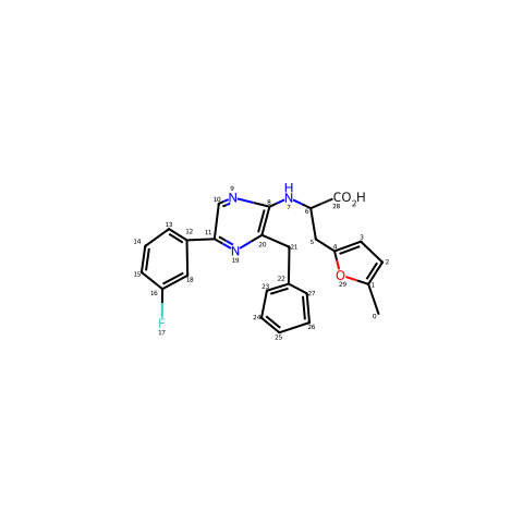 Cc1ccc(CC(Nc2ncc(-c3cccc(F)c3)nc2Cc2ccccc2)C(=O)O)o1